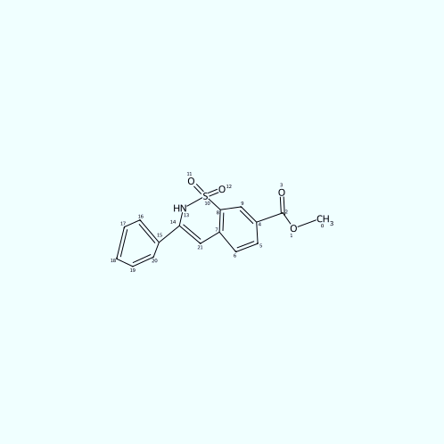 COC(=O)c1ccc2c(c1)S(=O)(=O)NC(c1ccccc1)=C2